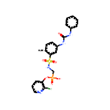 O=C(Nc1ccccc1)Nc1cccc(S(=O)(=O)NCP(=O)(O)Oc2cccnc2Cl)c1.[NaH]